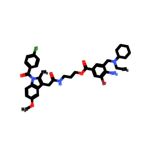 CCN(Cc1cc(C(=O)OCCCNC(=O)Cc2c(C)n(C(=O)c3ccc(Cl)cc3)c3ccc(OC)cc23)cc(Br)c1N)C1CCCCC1